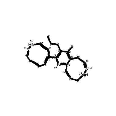 CCCc1c(-c2ccccn[nH]cc2)nc2c(c1C)C/C=N\NC/C=C\2